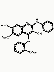 COc1cc2nc(Nc3ccccc3)c(C#N)c(Oc3ccccc3OC)c2cc1OC